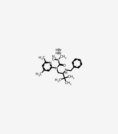 Br.Br.Cc1cc(C)nc(N(CC(NCc2ccccc2)C(C)(C)C)C(=O)N(C)C)c1